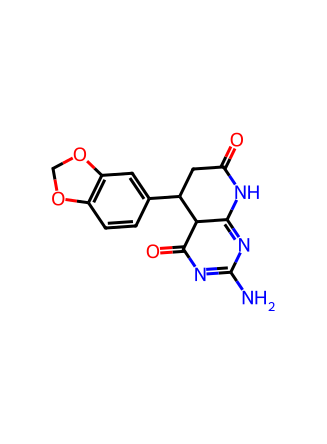 NC1=NC(=O)C2C(=N1)NC(=O)CC2c1ccc2c(c1)OCO2